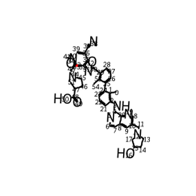 Cc1c(Nc2nccc3cc(CN4CCC(O)C4)cnc23)cccc1-c1cccc(-c2nc(C=O)c(/C(C#N)=C\N(C)CCN3CCC(C(=O)O)C3)o2)c1C